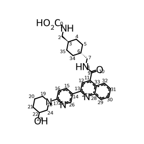 O=C(O)NC[C@H]1CC[C@H](CNC(=O)c2cc(-c3ccc(N4CCCC(O)C4)nc3)nc3ccccc23)CC1